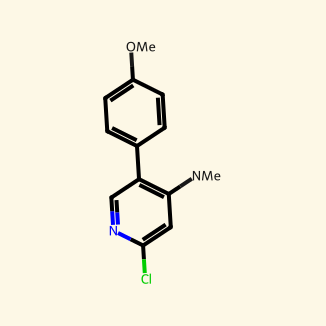 CNc1cc(Cl)ncc1-c1ccc(OC)cc1